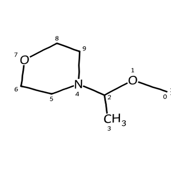 [C]OC(C)N1CCOCC1